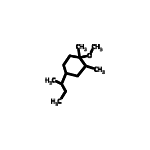 CCC(C)C1CCC(C)(OC)C(C)C1